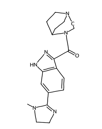 CN1CCN=C1c1ccc2c(C(=O)N3CCN4CCC3CC4)n[nH]c2c1